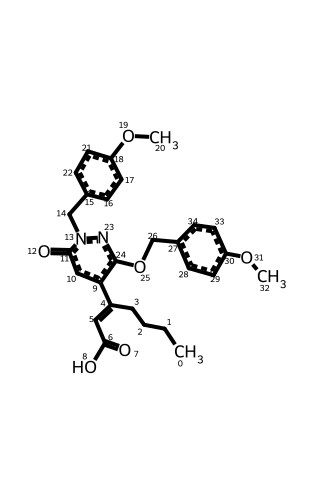 CCCC/C(=C\C(=O)O)c1cc(=O)n(Cc2ccc(OC)cc2)nc1OCc1ccc(OC)cc1